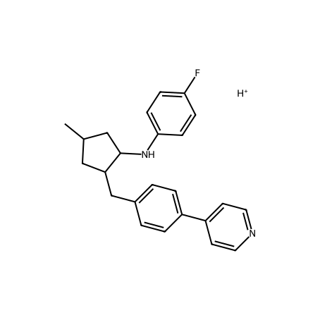 CC1CC(Cc2ccc(-c3ccncc3)cc2)C(Nc2ccc(F)cc2)C1.[H+]